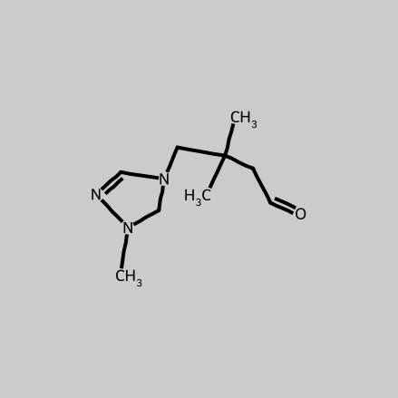 CN1CN(CC(C)(C)CC=O)C=N1